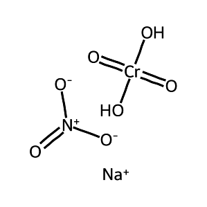 O=[N+]([O-])[O-].[Na+].[O]=[Cr](=[O])([OH])[OH]